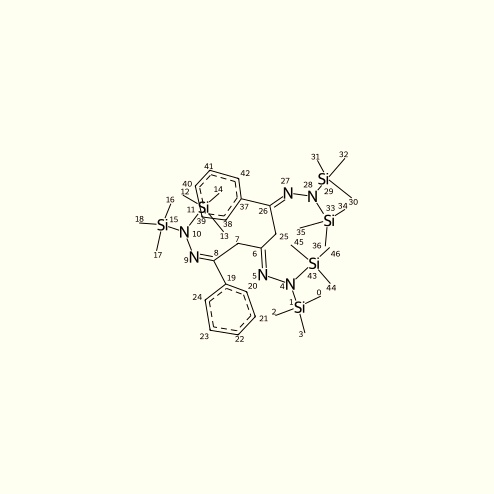 C[Si](C)(C)N(N=C(C/C(=N\N([Si](C)(C)C)[Si](C)(C)C)c1ccccc1)C/C(=N\N([Si](C)(C)C)[Si](C)(C)C)c1ccccc1)[Si](C)(C)C